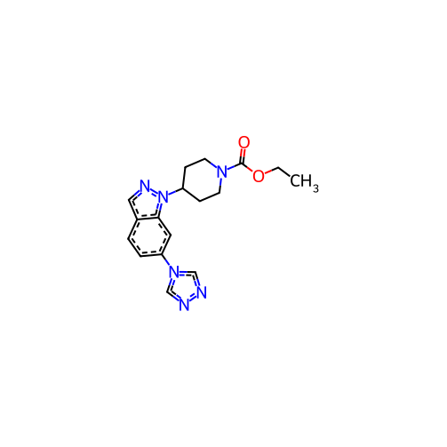 CCOC(=O)N1CCC(n2ncc3ccc(-n4cnnc4)cc32)CC1